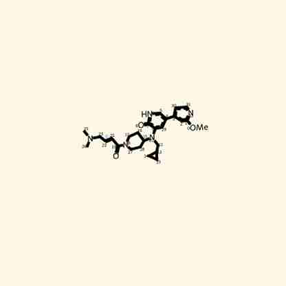 COc1cc(-c2c[nH]c(=O)c(N(CC3CC3)C3CCN(C(=O)/C=C/CN(C)C)CC3)c2)ccn1